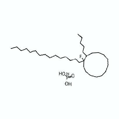 CCCCCCCCCCCCCCCC1(F)CCCCCCCCCCCC1CCCCC.O=[PH](O)O